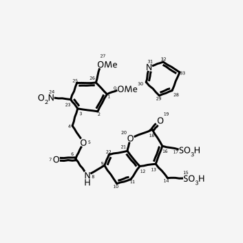 COc1cc(COC(=O)Nc2ccc3c(CS(=O)(=O)O)c(S(=O)(=O)O)c(=O)oc3c2)c([N+](=O)[O-])cc1OC.c1ccncc1